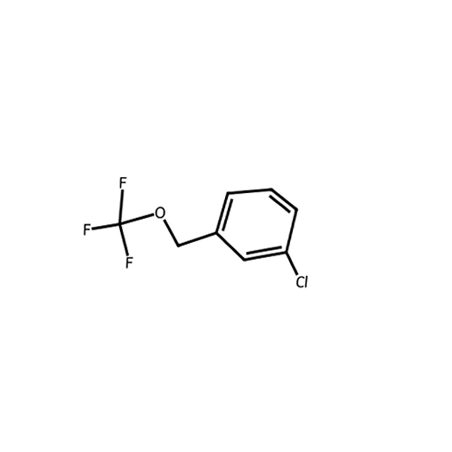 FC(F)(F)OCc1cccc(Cl)c1